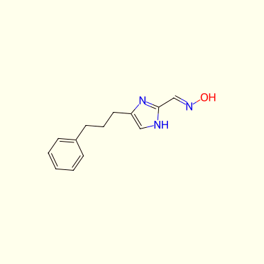 ON=Cc1nc(CCCc2ccccc2)c[nH]1